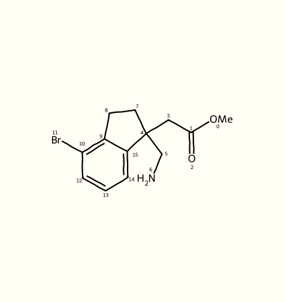 COC(=O)CC1(CN)CCc2c(Br)cccc21